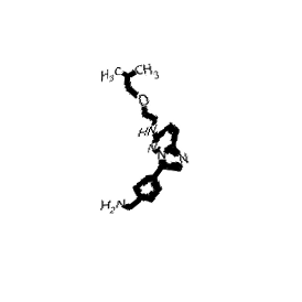 CC(C)COCCNc1ccc2ncc(-c3ccc(CN)cc3)n2n1